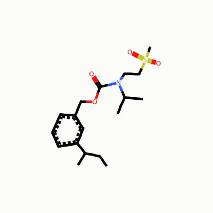 CCC(C)c1cccc(COC(=O)N(CCS(C)(=O)=O)C(C)C)c1